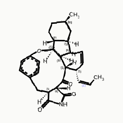 C/C=C\[C@H]1C=C[C@H]2[C@@H]3C[C@H](C)CC[C@H]3[C@@H]3Oc4ccc(cc4)C[C@@H]4C(=O)NC(=O)[C@H]4C(=O)[C@@H]1[C@H]23